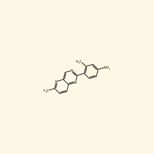 Cc1cc([N+](=O)[O-])ccc1-c1ncc2nc(C(F)(F)F)ccc2n1